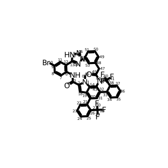 Cn1c(C(=O)Nc2ccc(Br)cc2-c2nnn[nH]2)cc2c(-c3ccccc3C(F)(F)F)cc(-c3ccccc3C(F)(F)F)c(NC(=O)Cc3ccccc3)c21